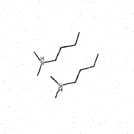 CCCC[SiH](C)C.CCCC[SiH](C)C